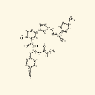 CNC(=O)C[C@@H](Cc1ccc(C#N)cc1)NC(=O)c1cc(-c2ccc(CN[C@H](C)c3ccc(C)cc3)o2)ccc1Cl